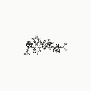 O=C(C1CCOCC1)N(CC12CCC(c3nc(C4CC4)no3)(CC1)CC2)c1cccc(-c2cc(C3CC3)on2)c1